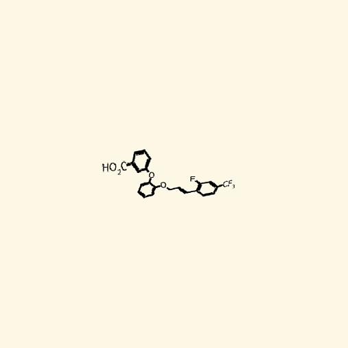 O=C(O)c1cccc(Oc2ccccc2OC/C=C/c2ccc(C(F)(F)F)cc2F)c1